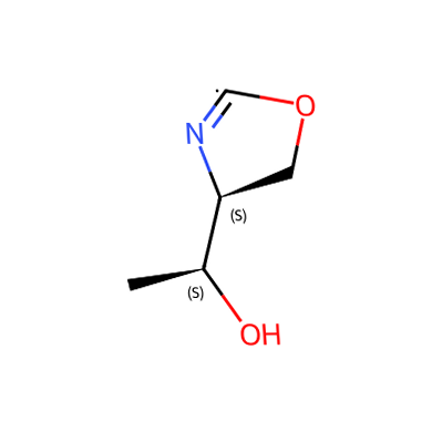 C[C@H](O)[C@@H]1CO[C]=N1